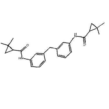 CC1(C)CC1C(=O)Nc1cccc(Cc2cccc(NC(=O)C3CC3(C)C)c2)c1